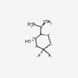 C[C@H](N)C1CCC(F)(F)CC1.Cl